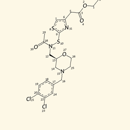 CCOC(=O)Cc1csc(SN(C[C@@H]2CN(Cc3ccc(Cl)c(Cl)c3)CCO2)C(C)=O)n1